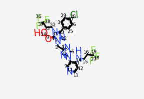 O=c1n(Cc2ncn(-c3cnccc3NCCC(F)(F)F)n2)nc(-c2ccc(Cl)cc2)n1C[C@H](O)C(F)(F)F